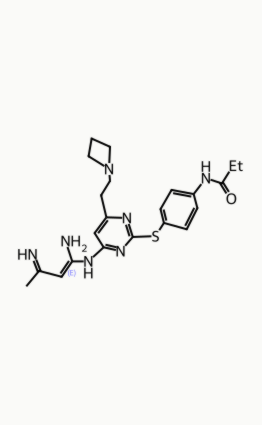 CCC(=O)Nc1ccc(Sc2nc(CCN3CCC3)cc(N/C(N)=C/C(C)=N)n2)cc1